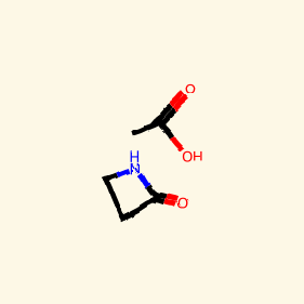 CC(=O)O.O=C1CCN1